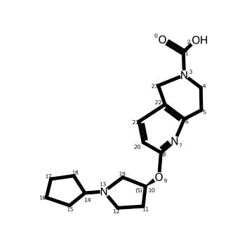 O=C(O)N1CCc2nc(O[C@H]3CCN(C4CCCC4)C3)ccc2C1